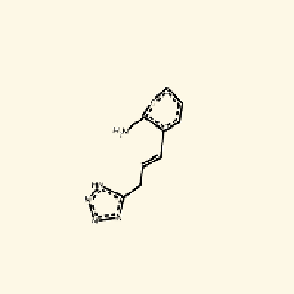 Nc1ccccc1/C=C/Cc1nnn[nH]1